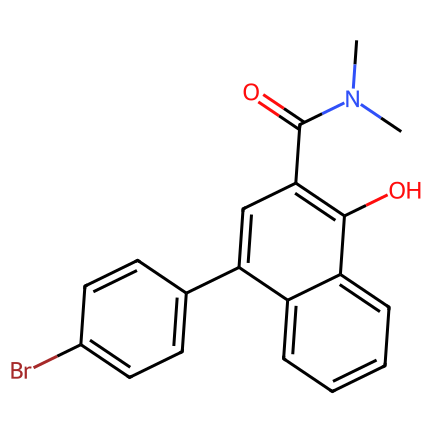 CN(C)C(=O)c1cc(-c2ccc(Br)cc2)c2ccccc2c1O